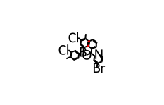 Cc1ccc(B(OC(c2ccccc2)c2cc(Br)ccn2)c2ccc(C)c(Cl)c2)cc1Cl